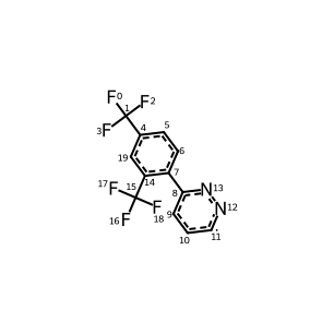 FC(F)(F)c1ccc(-c2cc[c]nn2)c(C(F)(F)F)c1